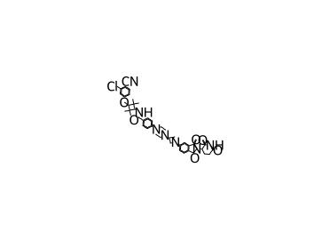 CC1(C)C(NC(=O)c2ccc(N3CCN(C4CN(c5ccc6c(c5)C(=O)N(C5CCC(=O)NC5=O)C6=O)C4)CC3)cc2)C(C)(C)C1Oc1ccc(C#N)c(Cl)c1